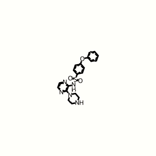 O=S(=O)(Nc1nccnc1N1CCNCC1)c1ccc(Oc2ccccc2)cc1